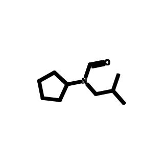 CC(C)CN(C=O)C1CCCC1